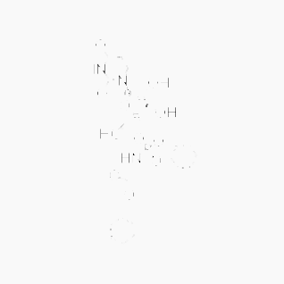 C#C[C@]1(COP(=O)(NCC(=O)OCc2ccccc2)Oc2ccccc2)O[C@@H](n2ccc(=O)[nH]c2=O)[C@H](O)[C@@H]1O